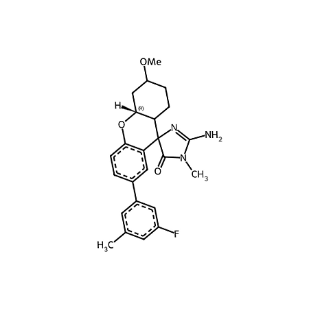 COC1CCC2[C@@H](C1)Oc1ccc(-c3cc(C)cc(F)c3)cc1C21N=C(N)N(C)C1=O